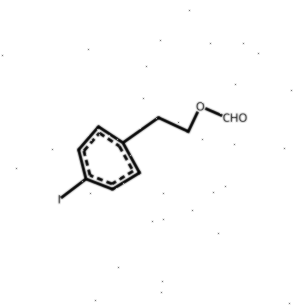 O=COCCc1ccc(I)cc1